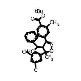 Cc1cc(C2=NOC(c3cc(Cl)cc(Cl)c3)(C(F)(F)F)C2C(O)c2ccccc2)ccc1C(=O)OC(C)(C)C